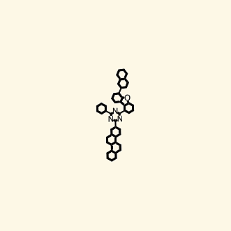 c1ccc(-c2nc(-c3ccc4c(ccc5c6ccccc6ccc45)c3)nc(-c3cccc4oc5c(-c6ccc7ccccc7c6)cccc5c34)n2)cc1